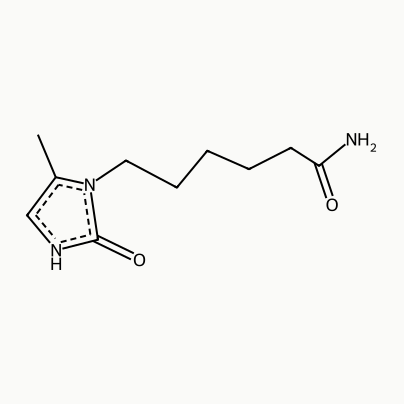 Cc1c[nH]c(=O)n1CCCCCC(N)=O